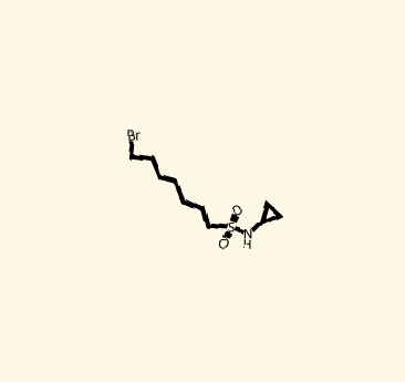 O=S(=O)(CCCCCCCBr)NC1CC1